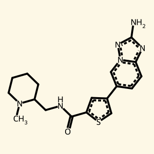 CN1CCCCC1CNC(=O)c1cc(-c2ccc3nc(N)nn3c2)cs1